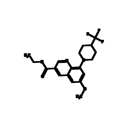 CCOC(=O)c1cnc2c(N3CCC(C(F)(F)F)CC3)cc(OC)cc2c1